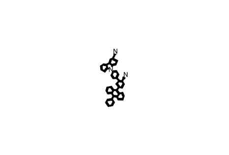 N#Cc1ccc2c(c1)c1ccccc1n2-c1ccc(-c2cc(-c3c4ccccc4c(-c4ccccc4)c4ccccc34)ccc2C#N)cc1